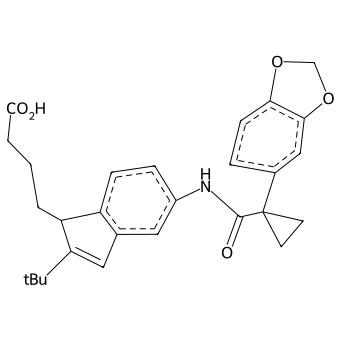 CC(C)(C)C1=Cc2cc(NC(=O)C3(c4ccc5c(c4)OCO5)CC3)ccc2C1CCCC(=O)O